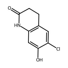 O=C1CCc2cc(Cl)c(O)cc2N1